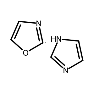 [c]1ncco1.c1c[nH]cn1